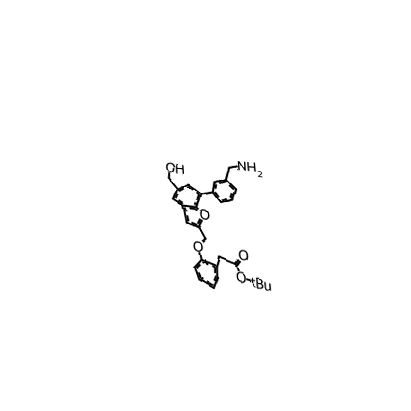 CC(C)(C)OC(=O)Cc1ccccc1OCc1cc2cc(CO)cc(-c3cccc(CN)c3)c2o1